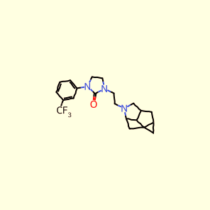 O=C1N(CCN2CC3CC4CC45CC2C35)CCN1c1cccc(C(F)(F)F)c1